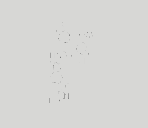 COc1cnc(Cl)cc1-c1cc(C)ncc1C(=O)Nc1nc2ccc(S(=O)(=O)N(C)C)cc2s1